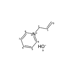 C=CC[n+]1ccccc1.[OH-]